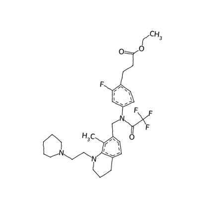 CCOC(=O)CCc1ccc(N(Cc2ccc3c(c2C)N(CCN2CCCCC2)CCC3)C(=O)C(F)(F)F)cc1F